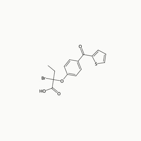 CCC(Br)(Oc1ccc(C(=O)c2cccs2)cc1)C(=O)O